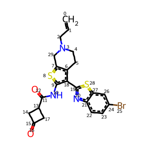 C=CCN1CCc2c(sc(NC(=O)C3CC(=O)C3)c2-c2nc3ccc(Br)cc3s2)C1